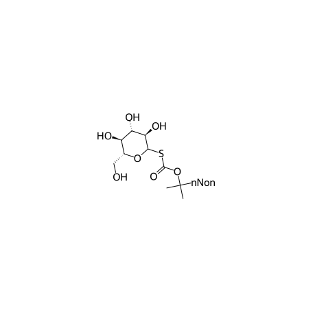 CCCCCCCCCC(C)(C)OC(=O)SC1O[C@H](CO)[C@@H](O)[C@H](O)[C@H]1O